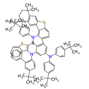 CC(C)(C)c1ccc(N2B3c4sc5ccccc5c4N(c4ccc(C(C)(C)C)cc4-c4ccccc4)c4cc(N(c5ccc(C(C)(C)C)cc5)c5ccc(C(C)(C)C)cc5)cc(c43)-c3ccc4sc5cc6c(cc5c4c32)C(C)(C)CCC6(C)C)cc1